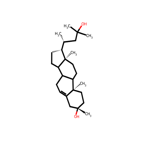 C[C@H](CC(C)(C)O)[C@H]1CCC2C3CC=C4C[C@@](C)(O)CC[C@]4(C)C3CC[C@@]21C